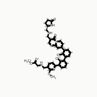 COC(=O)CNCc1ccc(-c2cccc(-c3cccc(-c4ccn5c(=O)c(CNC[C@H]6CCC(=O)N6)cnc5c4)c3Cl)c2Cl)nc1OC